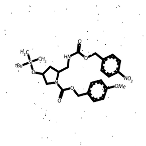 COc1ccc(COC(=O)N2CC(O[Si](C)(C)C(C)(C)C)CC2CNC(=O)OCc2ccc([N+](=O)[O-])cc2)cc1